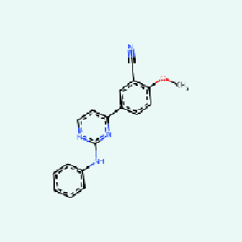 COc1ccc(-c2ccnc(Nc3ccccc3)n2)cc1C#N